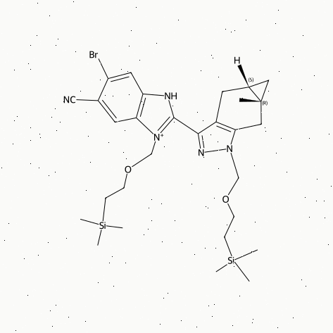 C[C@@]12Cc3c(c(-c4[nH]c5cc(Br)c(C#N)cc5[n+]4COCC[Si](C)(C)C)nn3COCC[Si](C)(C)C)C[C@@H]1C2